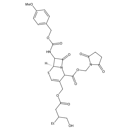 CCC(CO)CC(=O)OCC1=CS[C@H]2C(NC(=O)OCc3ccc(OC)cc3)C(=O)N2C1C(=O)OCN1C(=O)CCC1=O